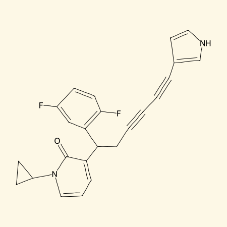 O=c1c(C(CC#CC#Cc2cc[nH]c2)c2cc(F)ccc2F)cccn1C1CC1